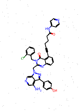 Nc1cncc2c1c(-c1ccc(O)cc1)nn2Cc1nc2cccc(C#CCCCC(=O)Nc3ccncc3)c2c(=O)n1Cc1ccccc1Cl